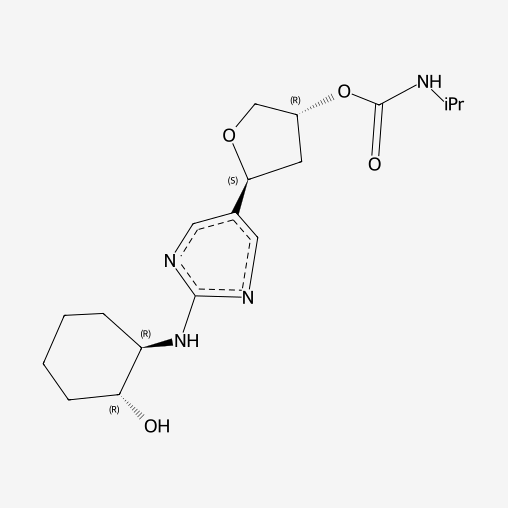 CC(C)NC(=O)O[C@H]1CO[C@H](c2cnc(N[C@@H]3CCCC[C@H]3O)nc2)C1